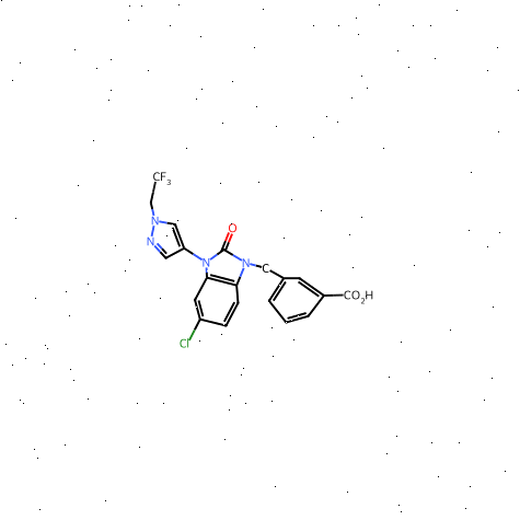 O=C(O)c1cccc(Cn2c(=O)n(-c3cnn(CC(F)(F)F)c3)c3cc(Cl)ccc32)c1